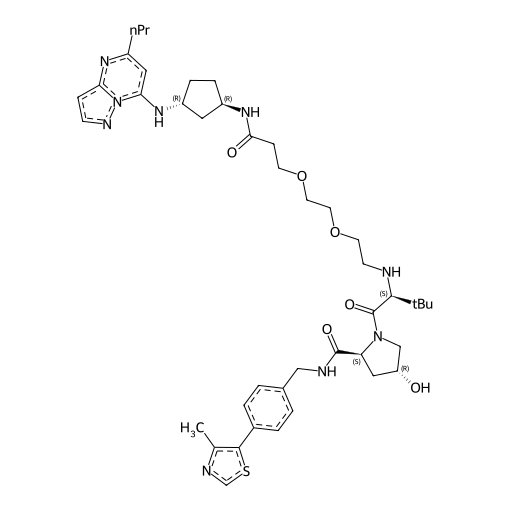 CCCc1cc(N[C@@H]2CC[C@@H](NC(=O)CCOCCOCCN[C@H](C(=O)N3C[C@H](O)C[C@H]3C(=O)NCc3ccc(-c4scnc4C)cc3)C(C)(C)C)C2)n2nccc2n1